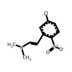 CN(C)C=Cc1cc(Cl)ccc1[N+](=O)[O-]